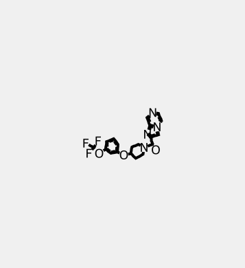 O=C(c1cn2ccncc2n1)N1CCC(Oc2cccc(OC(F)(F)F)c2)CC1